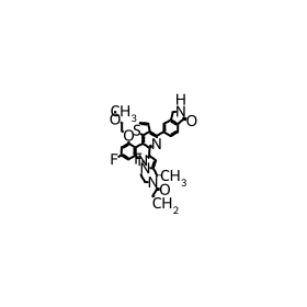 C=CC(=O)N1CCn2nc(-c3nc(-c4ccc5c(c4)CNC5=O)c4ccsc4c3-c3c(F)cc(F)cc3OCCOC)cc2[C@@H]1C